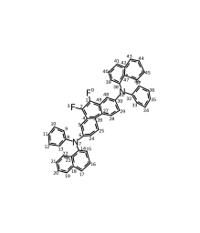 Fc1c(F)c2cc(N(c3ccccc3)c3cccc4ccccc34)ccc2c2ccc(N(c3ccccc3)c3cccc4ccccc34)cc12